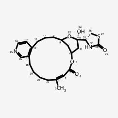 C/C1=C/C(=O)OC2CC(CCCc3ccncc3CCCC1)O[C@@](O)([C@@H]1CSC(=O)N1)C2